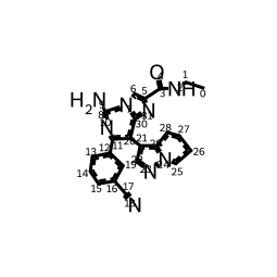 CCNC(=O)c1cn2c(N)nc(-c3cccc(C#N)c3)c(-c3cnn4ccccc34)c2n1